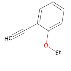 C#Cc1ccccc1OCC